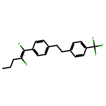 CCC/C(F)=C(\F)c1ccc(CCc2ccc(C(F)(F)F)cc2)cc1